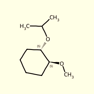 CO[C@H]1CCCC[C@@H]1OC(C)C